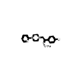 CON=C(CN1CCN(c2ccccn2)CC1)c1ccc(Cl)cc1